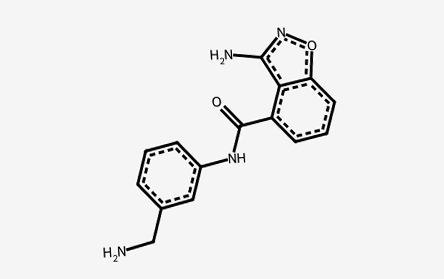 NCc1cccc(NC(=O)c2cccc3onc(N)c23)c1